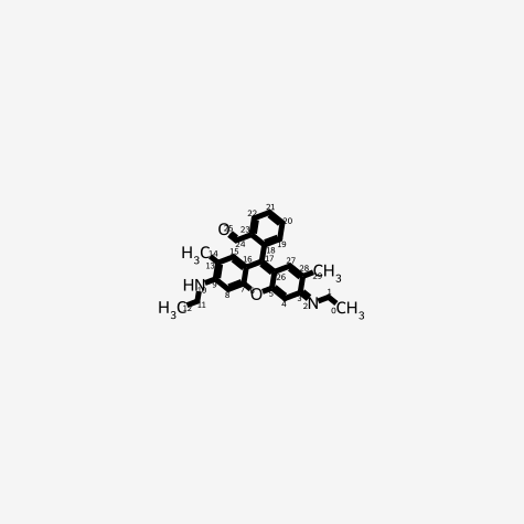 CC/N=c1/cc2oc3cc(NCC)c(C)cc3c(-c3ccccc3C=O)c-2cc1C